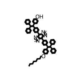 CCCCCCCCOc1ccc(C(=C(c2ccccc2)c2ccccc2)c2ccc(-c3c4c(c(-c5ccc(C(=C(c6ccccc6)c6ccccc6)c6ccc(O)cc6)cc5)c5nsnc35)N=S=N4)cc2)cc1